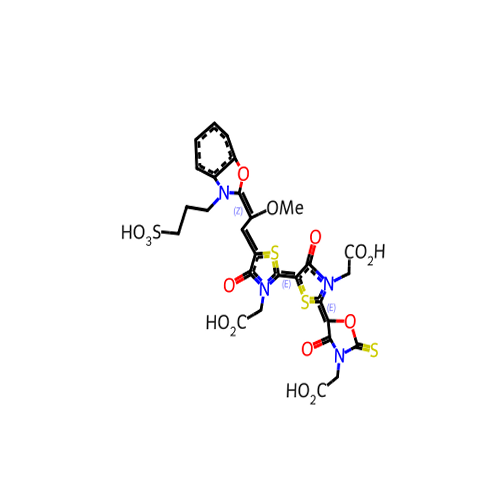 CO/C(C=c1s/c(=c2/s/c(=C3/OC(=S)N(CC(=O)O)C3=O)n(CC(=O)O)c2=O)n(CC(=O)O)c1=O)=C1\Oc2ccccc2N1CCCS(=O)(=O)O